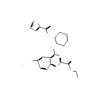 CCNC(=O)c1nc(N[C@H]2CCCC[C@H]2NC(=N)c2ccco2)c2cc(C)ccc2n1.Cl.Cl